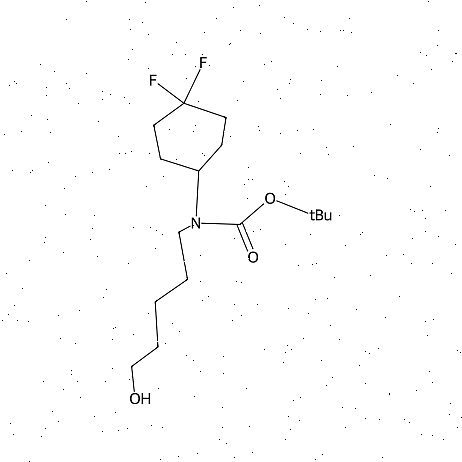 CC(C)(C)OC(=O)N(CCCCCO)C1CCC(F)(F)CC1